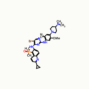 COc1cc(Nc2ncc(Br)c(Nc3ccc4nc(C5CC5)ccc4c3P(C)(C)=O)n2)c(C)cc1N1CCC(N(C)C)CC1